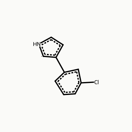 Clc1cccc(-c2[c][nH]cc2)c1